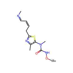 C/N=C\C=C/Cc1nc(C)c(N(C)C(=O)NOC(C)(C)C)s1